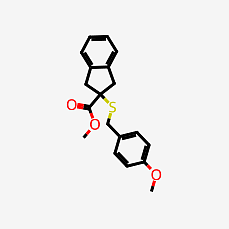 COC(=O)C1(SCc2ccc(OC)cc2)Cc2ccccc2C1